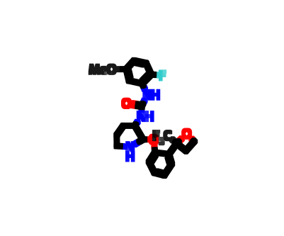 COc1ccc(F)c(NC(=O)NC2CCCNC2Oc2ccccc2C2(C(F)(F)F)CCO2)c1